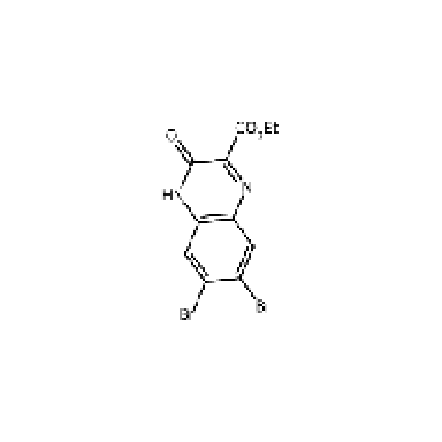 CCOC(=O)c1nc2cc(Br)c(Br)cc2[nH]c1=O